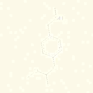 COC(C)Oc1ccc(C[SiH2]C)cc1